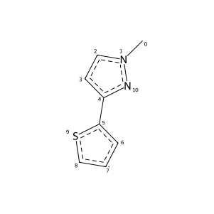 Cn1ccc(-c2c[c]cs2)n1